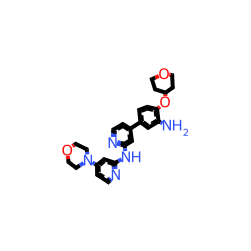 Nc1cc(-c2ccnc(Nc3cc(N4CCOCC4)ccn3)c2)ccc1OC1CCOCC1